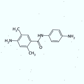 Cc1cc(C(=O)Nc2ccc(N)cc2)c(C)cc1N